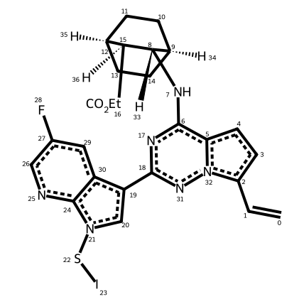 C=Cc1ccc2c(N[C@H]3[C@H]4CC[C@H](CC4)[C@@H]3C(=O)OCC)nc(-c3cn(SI)c4ncc(F)cc34)nn12